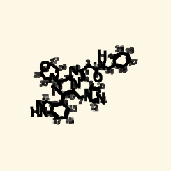 O=C(Cc1cn2c(Cn3ccnc3)c(-c3cccc4[nH]ncc34)nc(N3CCOCC3)c2n1)NCc1ccccc1